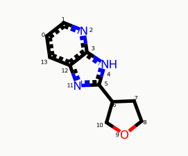 c1cnc2[nH]c(C3CCOC3)nc2c1